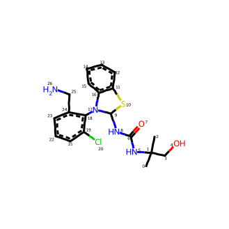 CC(C)(CO)NC(=O)NC1Sc2ccccc2N1c1c(Cl)cccc1CN